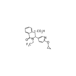 O=C(O)[C@H]1c2ccccc2C(=O)N(CC(F)(F)F)C1c1ccc(OC2CC2)nc1